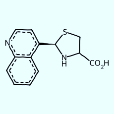 O=C(O)C1CS[C@H](c2ccnc3ccccc23)N1